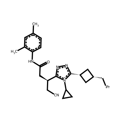 Cc1ccc(NC(=O)C[C@H](CC#N)c2nnc([C@H]3C[C@@H](CC(C)C)C3)n2C2CC2)c(C)c1